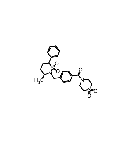 C[C@H]1CCC(c2ccccc2)S(=O)(=O)N1Cc1ccc(C(=O)N2CCS(=O)(=O)CC2)cc1